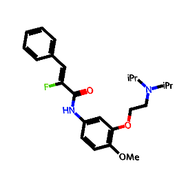 COc1ccc(NC(=O)/C(F)=C/c2ccccc2)cc1OCCN(C(C)C)C(C)C